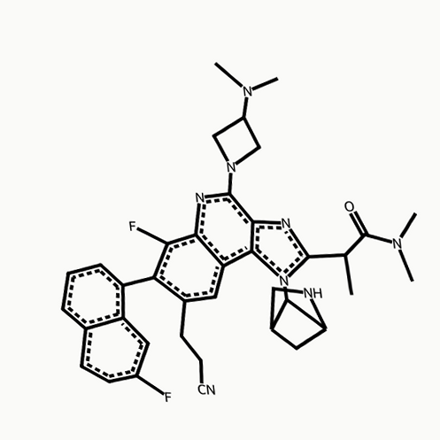 CC(C(=O)N(C)C)c1nc2c(N3CC(N(C)C)C3)nc3c(F)c(-c4cccc5ccc(F)cc45)c(CCC#N)cc3c2n1C1C2CNC1C2